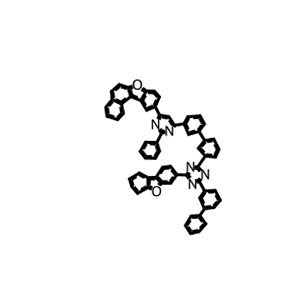 c1ccc(-c2cccc(-c3nc(-c4cccc(-c5cccc(-c6cc(-c7ccc8oc9ccc%10ccccc%10c9c8c7)nc(-c7ccccc7)n6)c5)c4)nc(-c4ccc5c(c4)oc4ccccc45)n3)c2)cc1